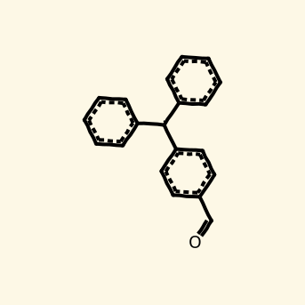 O=Cc1ccc([C](c2ccccc2)c2ccccc2)cc1